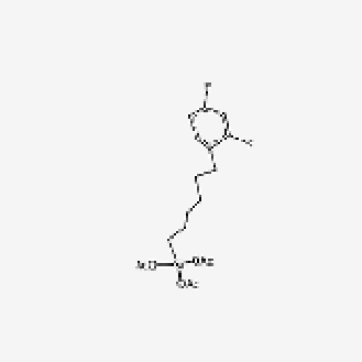 CC(=O)O[Si](CCCCCCc1ccc(F)cc1F)(OC(C)=O)OC(C)=O